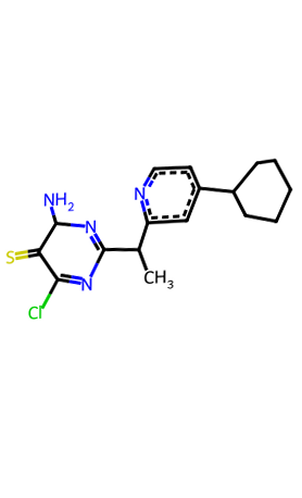 CC(C1=NC(N)C(=S)C(Cl)=N1)c1cc(C2CCCCC2)ccn1